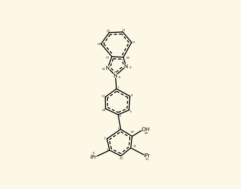 CC(C)c1cc(-c2ccc(-n3nc4ccccc4n3)cc2)c(O)c(C(C)C)c1